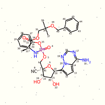 C[C@H](NP(=O)(OC[C@@]1(C#N)O[C@@H](c2ccc3c(N)ncnn23)[C@H](O)[C@@H]1O)Oc1ccccc1)C(=O)OCC(C)(C)OCc1ccccc1